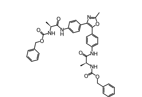 Cc1nc(-c2ccc(NC(=O)[C@H](C)NC(=O)OCc3ccccc3)cc2)c(-c2ccc(NC(=O)[C@H](C)NC(=O)OCc3ccccc3)cc2)o1